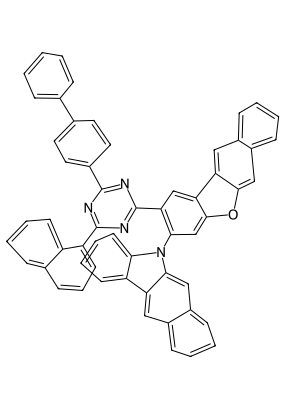 c1ccc(-c2ccc(-c3nc(-c4cc5c(cc4-n4c6ccccc6c6cc7ccccc7cc64)oc4cc6ccccc6cc45)nc(-c4cccc5ccccc45)n3)cc2)cc1